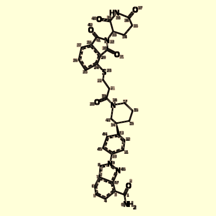 NC(=O)c1cccc2cn(-c3ccc([C@@H]4CCCN(C(=O)CCSc5cccc6c5C(=O)N(C5CCC(=O)NC5=O)C6=O)C4)cc3)nc12